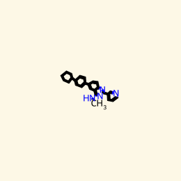 CNc1nc(-c2cccnc2)nc2ccc(-c3ccc(C4CCCCC4)cc3)cc12